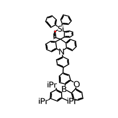 CC(C)c1cc(C(C)C)c(B2c3ccccc3Oc3cc(-c4ccc(N5c6ccccc6C6(c7ccccc75)c5ccccc5[Si](c5ccccc5)(c5ccccc5)c5ccccc56)cc4)ccc32)c(C(C)C)c1